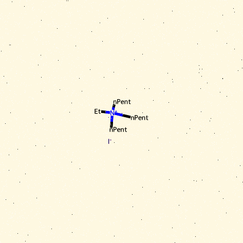 CCCCC[N+](CC)(CCCCC)CCCCC.[I-]